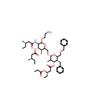 CCC(=O)O[C@H](CC)CC(=O)O[C@@H]1C(C)[C@H](OCC2O[C@H](OCCN)C(NC(=O)C[C@H](C)CC)[C@@H](OC(=O)C[C@H](C)CC)[C@@H]2C)OC(COCc2ccccc2)[C@H]1Cc1ccccc1